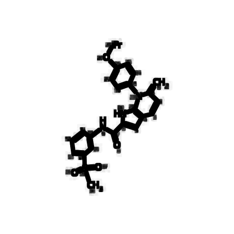 C=C1C=Cc2cc(C(=O)Nc3cccc(S(C)(=O)=O)c3)[nH]c2N1c1ccc(OC(C)C)cc1